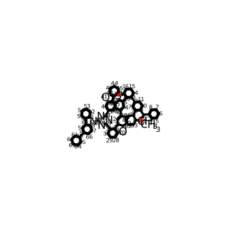 CCC(c1ccccc1)c1ccc(-c2cccc3sc4ccc(C5=CC6c7c(cccc7-c7nc(-c8ccc9c(c8)oc8ccccc89)nc(-n8c9ccccc9c9cc(-c%10ccccc%10)ccc98)n7)OC6C=C5)cc4c23)cc1C1C=CC=CC1C